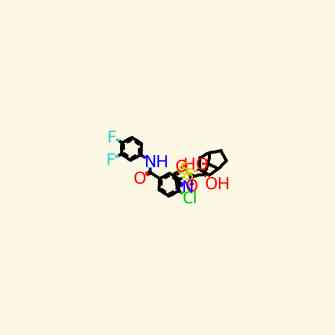 O=C(Nc1ccc(F)c(F)c1)c1ccc(Cl)c(S(=O)(=O)[C@H]2CC3CCC(C2)[C@]3(O)C(O)c2nccs2)c1